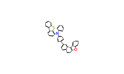 c1ccc(N(c2ccc(-c3ccc4ccc5oc6ccccc6c5c4c3)cc2)c2cccc3c2sc2ccccc23)cc1